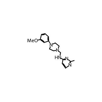 COc1cccc(N2CCN(CNc3ccnc(C)n3)CC2)c1